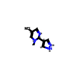 CN1C=C(C#N)C=NC1c1cn[nH]c1